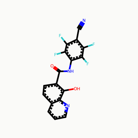 N#Cc1c(F)c(F)c(NC(=O)c2ccc3cccnc3c2O)c(F)c1F